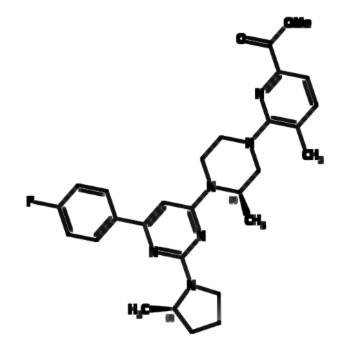 COC(=O)c1ccc(C)c(N2CCN(c3cc(-c4ccc(F)cc4)nc(N4CCC[C@H]4C)n3)[C@H](C)C2)n1